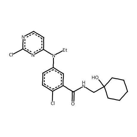 CCN(c1ccc(Cl)c(C(=O)NCC2(O)CCCCC2)c1)c1ccnc(Cl)n1